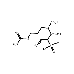 C=CC(N(O)[C@@H](CCCNC(=N)N)C(=O)O)P(=O)(O)O